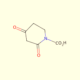 O=C1CCN(C(=O)O)C(=O)C1